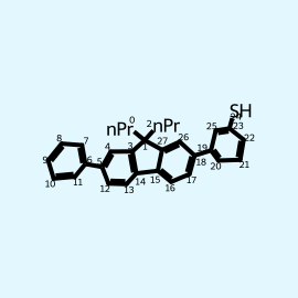 CCCC1(CCC)c2cc(-c3ccccc3)ccc2-c2ccc(-c3cccc(S)c3)cc21